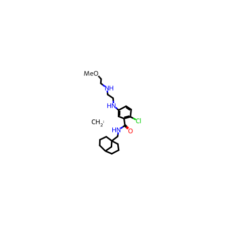 COCCNCCNc1ccc(Cl)c(C(=O)NCC23CCCC(CCC2)C3)c1.[CH2]